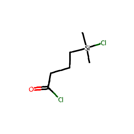 C[Si](C)(Cl)CCCC(=O)Cl